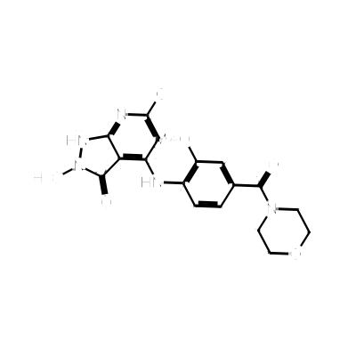 COc1cc(C(=O)N2CCOCC2)ccc1Nc1cc(Cl)nc2[nH]n(C)c(=O)c12